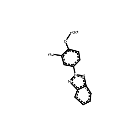 CCCCCCCCOc1ccc(-n2nc3ccccc3n2)cc1C(C)(C)C